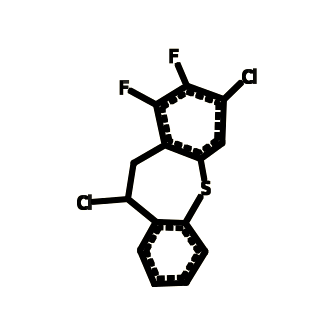 Fc1c(Cl)cc2c(c1F)CC(Cl)c1ccccc1S2